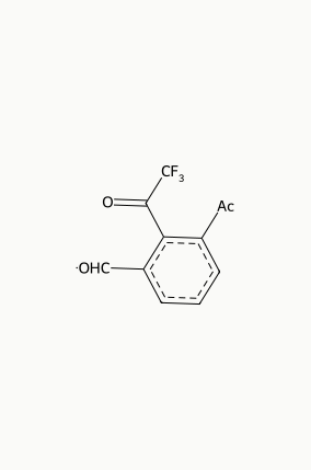 CC(=O)c1cccc([C]=O)c1C(=O)C(F)(F)F